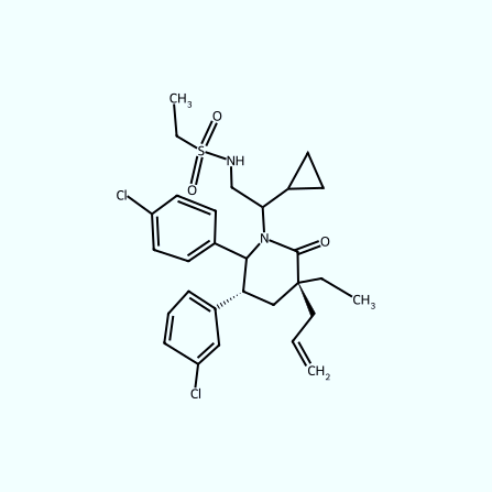 C=CC[C@@]1(CC)C[C@H](c2cccc(Cl)c2)C(c2ccc(Cl)cc2)N(C(CNS(=O)(=O)CC)C2CC2)C1=O